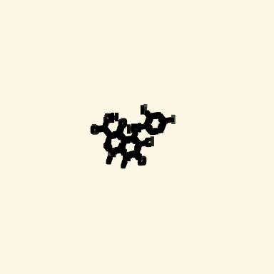 Cn1cc(C(=O)O)c(=O)c2c(Nc3ccc(I)cc3F)c(Cl)c(=O)n(C)c21